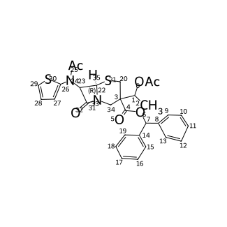 CC(=O)OC(C)C1(C(=O)OC(c2ccccc2)c2ccccc2)CS[C@@H]2C(N(C(C)=O)c3cccs3)C(=O)N2C1